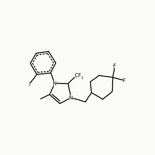 CC1=CN(CC2CCC(F)(F)CC2)C(C(F)(F)F)N1c1ccccc1I